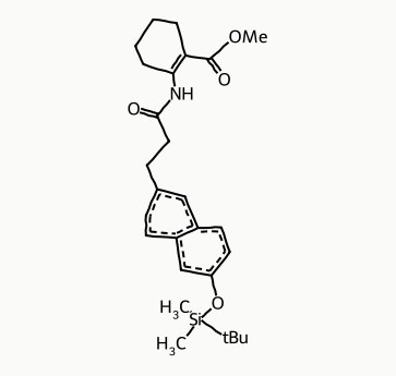 COC(=O)C1=C(NC(=O)CCc2ccc3cc(O[Si](C)(C)C(C)(C)C)ccc3c2)CCCC1